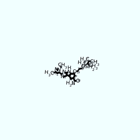 CCn1nc(C)cc1-c1ncc2c(n1)[nH]c1c(OCCCO[SiH2]C(C)(C)C(C)C)cc(C(N)=O)cc12